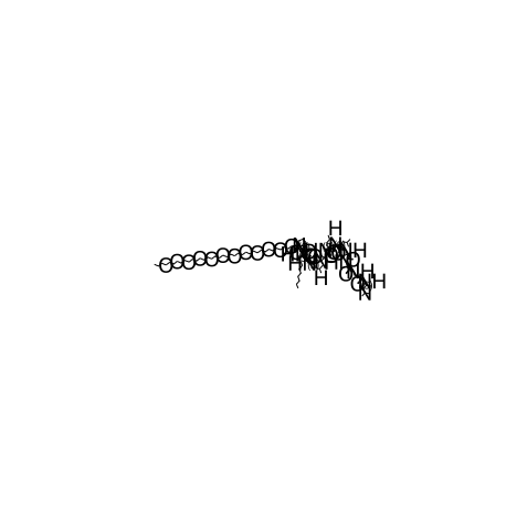 CCCCCCCC[C@H](NC(=O)[C@@H]1CCCN1C(=O)OCCOCCOCCOCCOCCOCCOCCOCCOCCOCCOCCOCCC)C(=O)N[C@@H](CC(C)C)C(=O)NC(C)(C)C(=O)N[C@@H](CC(C)C)C(=O)N[C@@H](CC(C)C)C(=O)NC(C)(C)C(=O)NC(C)(C)C(=O)NCCC(=O)N[C@@H](C)CN(C)C